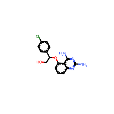 Nc1nc(N)c2c(OC(CO)c3ccc(Cl)cc3)cccc2n1